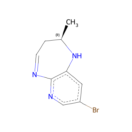 C[C@@H]1CC=Nc2ncc(Br)cc2N1